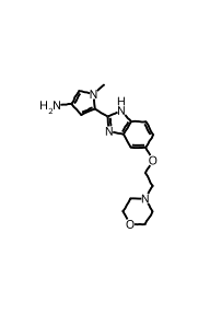 Cn1cc(N)cc1-c1nc2cc(OCCN3CCOCC3)ccc2[nH]1